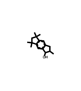 CC1Cc2cc3c(cc2C1O)C(C)(C)CC3(C)C